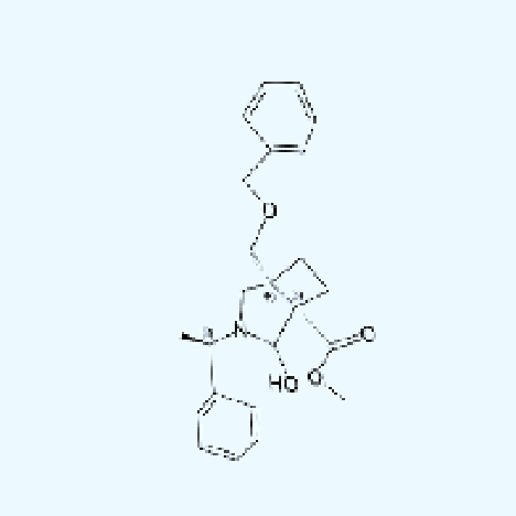 COC(=O)[C@@]12CC[C@]1(COCc1ccccc1)CN([C@H](C)c1ccccc1)C2O